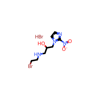 Br.O=[N+]([O-])c1nccn1CC(O)CNCCBr